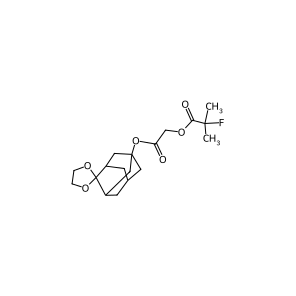 CC(C)(F)C(=O)OCC(=O)OC12CC3CC(C1)C1(OCCO1)C(C3)C2